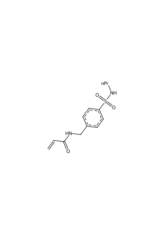 C=CC(=O)NCc1ccc(S(=O)(=O)NCCC)cc1